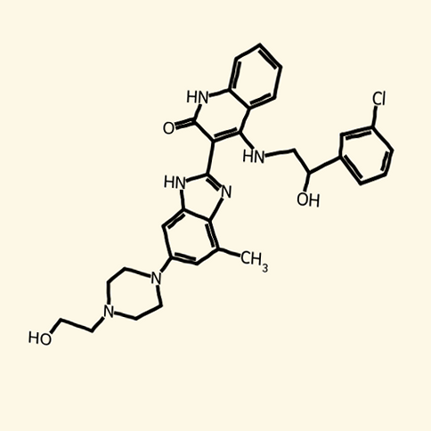 Cc1cc(N2CCN(CCO)CC2)cc2[nH]c(-c3c(NCC(O)c4cccc(Cl)c4)c4ccccc4[nH]c3=O)nc12